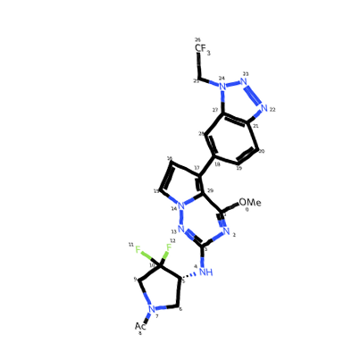 COc1nc(N[C@@H]2CN(C(C)=O)CC2(F)F)nn2ccc(-c3ccc4nnn(CC(F)(F)F)c4c3)c12